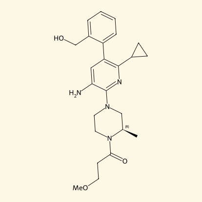 COCCC(=O)N1CCN(c2nc(C3CC3)c(-c3ccccc3CO)cc2N)C[C@H]1C